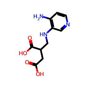 Nc1ccncc1NCC(CC(=O)O)C(=O)O